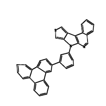 c1cc(-c2ccc3c4ccccc4c4ccccc4c3c2)cc(-n2c3cscc3c3c4ccccc4cnc32)c1